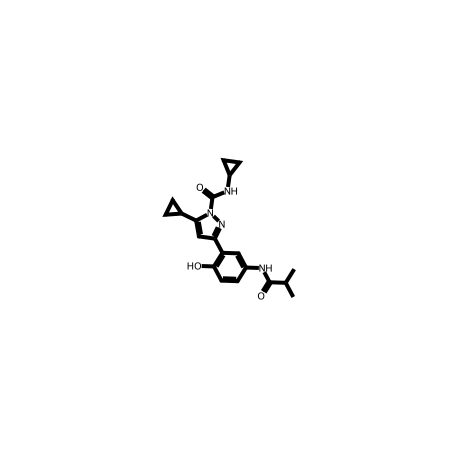 CC(C)C(=O)Nc1ccc(O)c(-c2cc(C3CC3)n(C(=O)NC3CC3)n2)c1